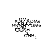 COc1cc(Nc2ncc(F)c(Nc3cccc(C)c3CS(=O)(=O)NCCC(N)=O)n2)cc(OC)c1OC